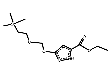 CCOC(=O)c1cc(OCOCC[Si](C)(C)C)n[nH]1